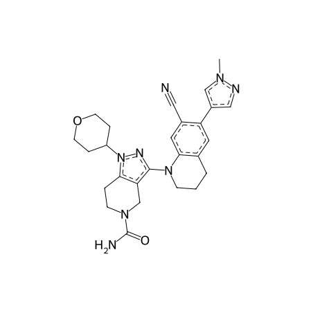 Cn1cc(-c2cc3c(cc2C#N)N(c2nn(C4CCOCC4)c4c2CN(C(N)=O)CC4)CCC3)cn1